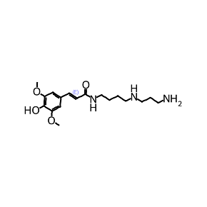 COc1cc(/C=C/C(=O)NCCCCNCCCN)cc(OC)c1O